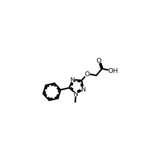 Cn1nc(OCC(=O)O)nc1-c1ccccc1